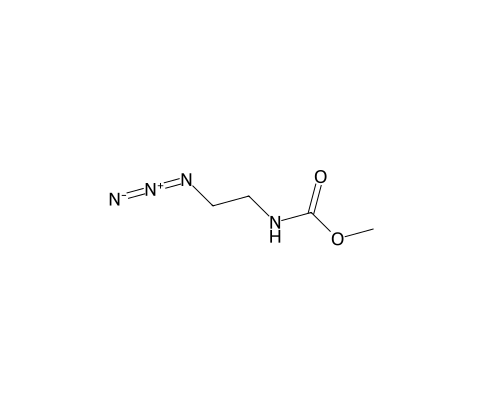 COC(=O)NCCN=[N+]=[N-]